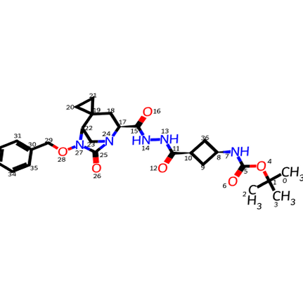 CC(C)(C)OC(=O)N[C@H]1C[C@@H](C(=O)NNC(=O)[C@@H]2CC3(CC3)C3CN2C(=O)N3OCc2ccccc2)C1